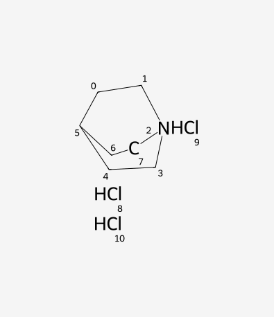 C1CN2CCC1CC2.Cl.Cl.Cl